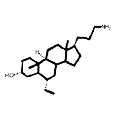 CC[C@H]1CC2C3CC[C@H](CCCN)C3(C)CC[C@@H]2C2(C)CC[C@@H](O)CC12